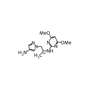 COc1cc(OC)nc(N[C@@H](C)Cn2cc(N)cn2)n1